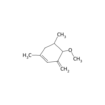 C=C1C=C(C)CC(C)C1OC